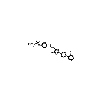 CCOC(=O)C(C)(C)Oc1ccc(OCCc2nc(-c3ccc(-c4ccccc4F)cc3)oc2C)cc1